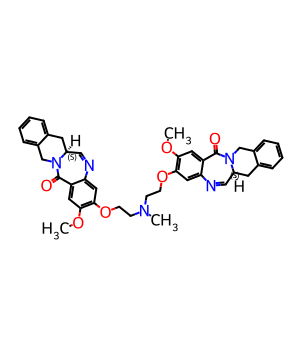 COc1cc2c(cc1OCCN(C)CCOc1cc3c(cc1OC)C(=O)N1Cc4ccccc4C[C@H]1C=N3)N=C[C@@H]1Cc3ccccc3CN1C2=O